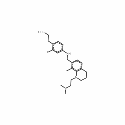 Cc1c(CNc2ccc(CCC=O)c(F)c2)ccc2c1N(CCN(C)C)CCC2